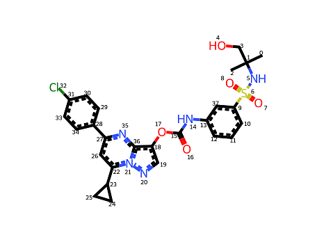 CC(C)(CO)NS(=O)(=O)c1cccc(NC(=O)Oc2cnn3c(C4CC4)cc(-c4ccc(Cl)cc4)nc23)c1